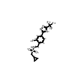 O=S(=O)(CC1CC1)NCc1ccc(-c2noc(C(F)(F)F)n2)cc1F